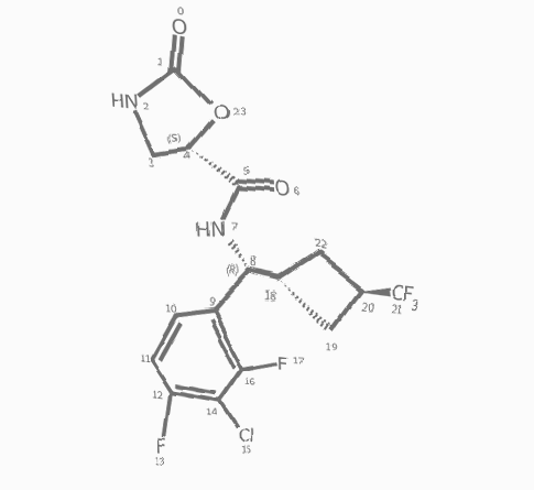 O=C1NC[C@@H](C(=O)N[C@@H](c2ccc(F)c(Cl)c2F)[C@H]2C[C@H](C(F)(F)F)C2)O1